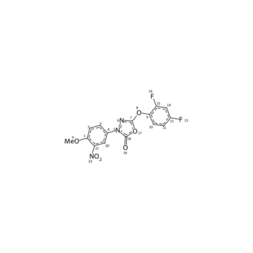 COc1ccc(-n2nc(Oc3ccc(F)cc3F)oc2=O)cc1[N+](=O)[O-]